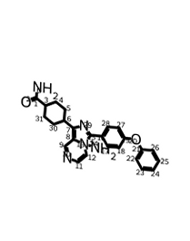 NC(=O)C1CCC(C2=C3C=NC=C[N+]3(N)C(c3ccc(Oc4ccccc4)cc3)=N2)CC1